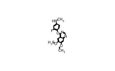 CCOc1cc2ncnc(Oc3ccc(NC)cc3F)c2cc1OC